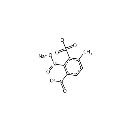 Cc1ccc([N+](=O)[O-])c([N+](=O)[O-])c1S(=O)(=O)[O-].[Na+]